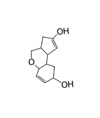 OC1=CC2C(COC3C=CC(O)CC32)C1